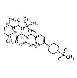 C[C@@H]1CC[C@H](C)N(C(=O)OC(C)(C)C)[C@@H]1C(=O)N[C@@H](Cc1ccc(N2CCN(S(C)(=O)=O)CC2)cc1)C(N)=O